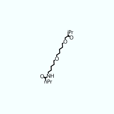 CCCC(=O)NCCCCCOCCCCCOCC(=O)C(C)C